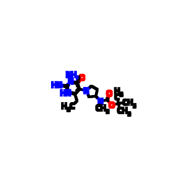 CCc1[nH]c(=N)n(N)c(=O)c1N1CCC(N(C)C(=O)OC(C)(C)C)C1